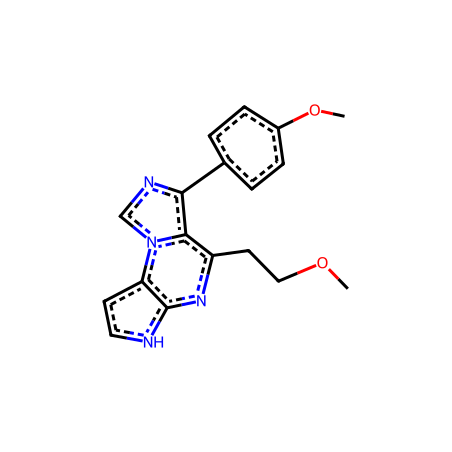 COCCc1nc2[nH]ccc2n2cnc(-c3ccc(OC)cc3)c12